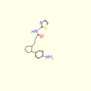 Nc1ccc(C2CCCC2CCC(=O)Nc2nccs2)cc1